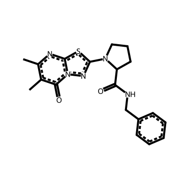 Cc1nc2sc(N3CCCC3C(=O)NCc3ccccc3)nn2c(=O)c1C